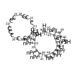 BC1(C)C(C)C(CC)C(S)(CC2(C)CCCCCCCCCCCCCCCCCCC2)C(CCC)C(CCC)CC(CCC)C(CCC)C(C)C(CCC)C(C)C(CCC)C(CCC)C(CC)C(CCC)C(CC)C(CC(C)CCS)C1CCC